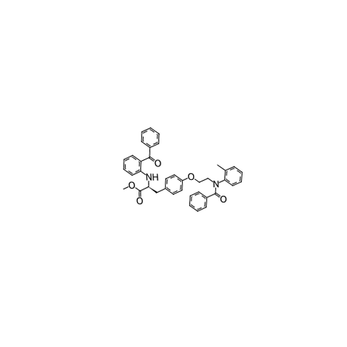 COC(=O)[C@H](Cc1ccc(OCCN(C(=O)c2ccccc2)c2ccccc2C)cc1)Nc1ccccc1C(=O)c1ccccc1